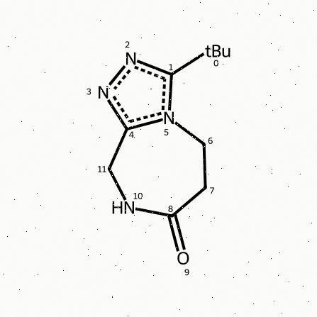 CC(C)(C)c1nnc2n1CCC(=O)NC2